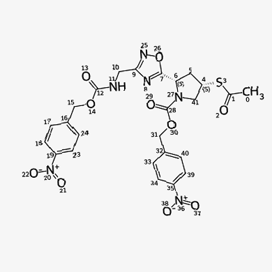 CC(=O)S[C@H]1C[C@@H](c2nc(CNC(=O)OCc3ccc([N+](=O)[O-])cc3)no2)N(C(=O)OCc2ccc([N+](=O)[O-])cc2)C1